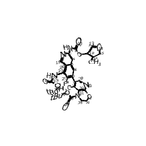 Cc1c(-c2cc3cc(NC(=O)OC4COCC4C)ncc3c(NC(=O)OC(C)(C)C)c2F)cnc2c1N(C(=O)OC(C)(C)C)CCO2